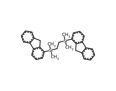 C[Si](C)(CC[Si](C)(C)c1cccc2c1Cc1ccccc1-2)c1cccc2c1Cc1ccccc1-2